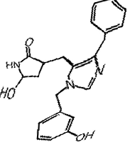 O=C1NC(O)CC1Cc1c(-c2ccccc2)ncn1Cc1cccc(O)c1